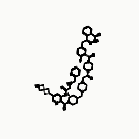 O=C(CNCc1ccncn1)Nc1cc(C2CC3(CNC3)C2)cnc1C(=O)N1CCC(CN2CCN(CC(=O)N3CCN(C(=O)c4cc(Cc5n[nH]c(=O)c6ccccc56)ccc4F)CC3)CC2)CC1